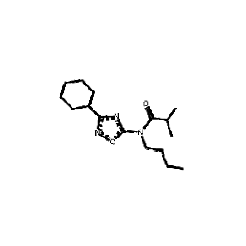 CCCCN(C(=O)C(C)C)c1nc(C2CCCCC2)no1